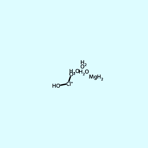 O.O.O.[MgH2].[O-][Cl+]O